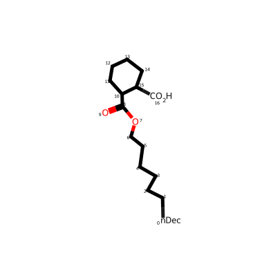 CCCCCCCCCCCCCCCCOC(=O)C1CCCCC1C(=O)O